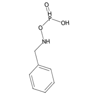 O=[PH](O)ONCc1ccccc1